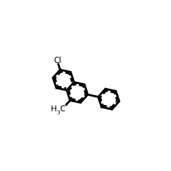 Cc1cc(-c2ccccc2)cc2cc(Cl)ccc12